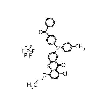 CCCOc1ccc(Cl)c2c(=O)c3cc([S+](c4ccc(C)cc4)c4ccc(C(=O)c5ccccc5)cc4)ccc3sc12.F[P-](F)(F)(F)(F)F